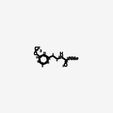 CNC(=O)NCCc1cccc(OC(F)(F)F)c1